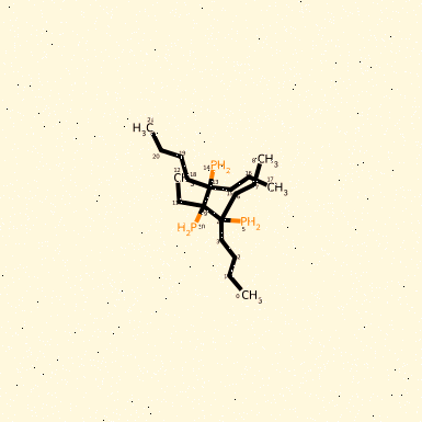 CCCCC(P)(CCC)C(P)(CC)C(P)(CCC)CCCC